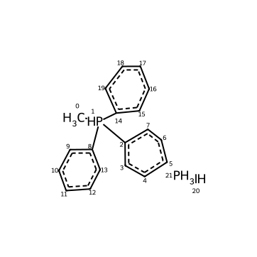 C[PH](c1ccccc1)(c1ccccc1)c1ccccc1.I.P